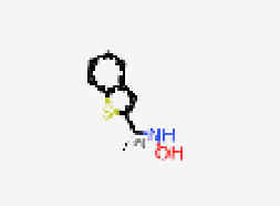 C[C@@H](NO)c1cc2ccccc2s1